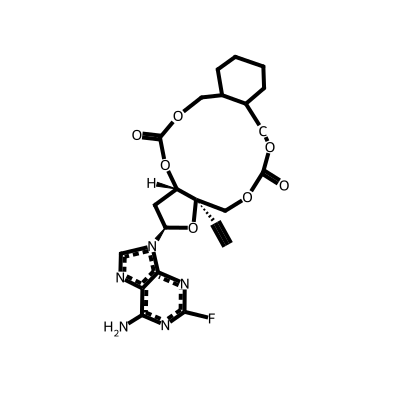 C#C[C@@]12COC(=O)OCC3CCCCC3COC(=O)O[C@H]1C[C@H](n1cnc3c(N)nc(F)nc31)O2